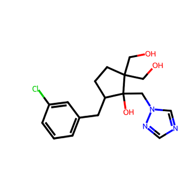 OCC1(CO)CCC(Cc2cccc(Cl)c2)C1(O)Cn1cncn1